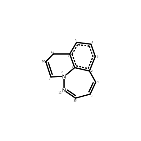 C1=Cc2cccc3c2N(C=CC3)N=C1